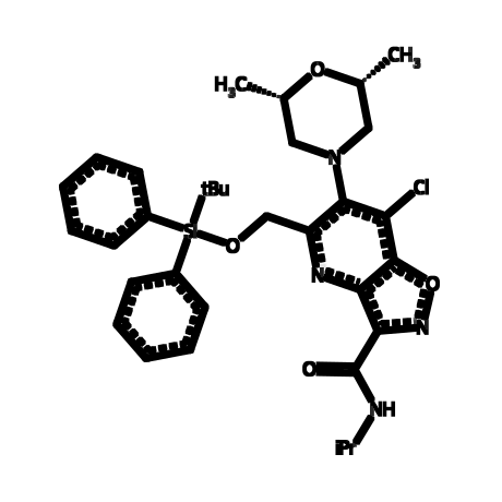 CC(C)NC(=O)c1noc2c(Cl)c(N3C[C@@H](C)O[C@@H](C)C3)c(CO[Si](c3ccccc3)(c3ccccc3)C(C)(C)C)nc12